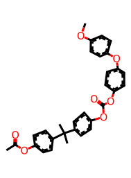 COc1ccc(Oc2ccc(OC(=O)Oc3ccc(C(C)(C)c4ccc(OC(C)=O)cc4)cc3)cc2)cc1